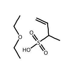 C=CC(C)S(=O)(=O)O.CCOCC